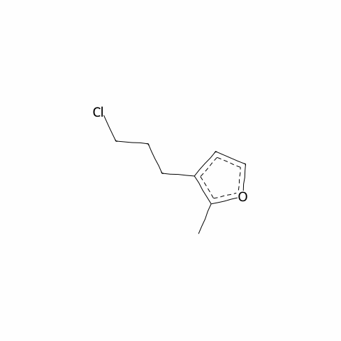 Cc1occc1CCCCl